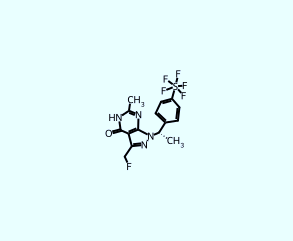 Cc1nc2c(c(CF)nn2[C@@H](C)c2ccc(S(F)(F)(F)(F)F)cc2)c(=O)[nH]1